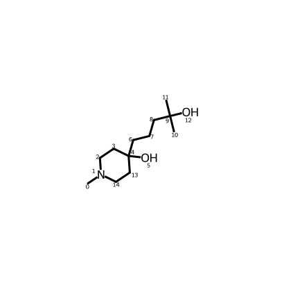 CN1CCC(O)(CCCC(C)(C)O)CC1